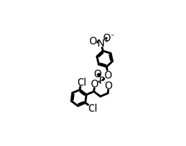 O=[N+]([O-])c1ccc(OP2(=O)OCCC(c3c(Cl)cccc3Cl)O2)cc1